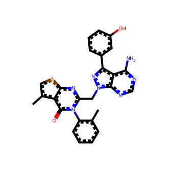 Cc1ccccc1-n1c(Cn2nc(-c3cccc(O)c3)c3c(N)ncnc32)nc2scc(C)c2c1=O